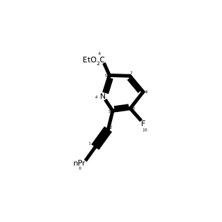 CCCC#Cc1nc(C(=O)OCC)ccc1F